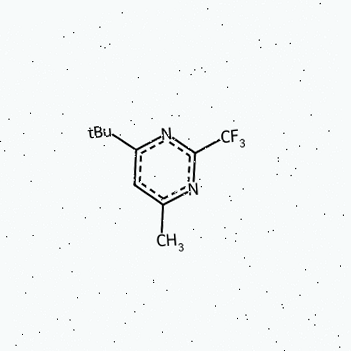 Cc1cc(C(C)(C)C)nc(C(F)(F)F)n1